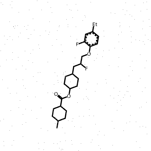 CCc1ccc(OCC(F)CC2CCC(OC(=O)C3CCC(C)CC3)CC2)c(F)c1